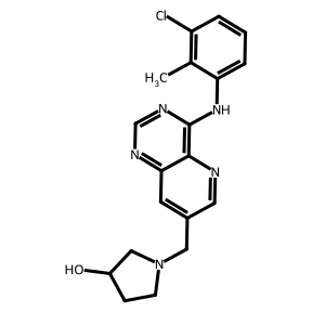 Cc1c(Cl)cccc1Nc1ncnc2cc(CN3CCC(O)C3)cnc12